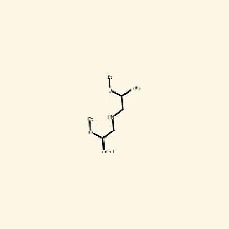 CCCCCCCCC(CNCC(CCCC)OCC)OCC